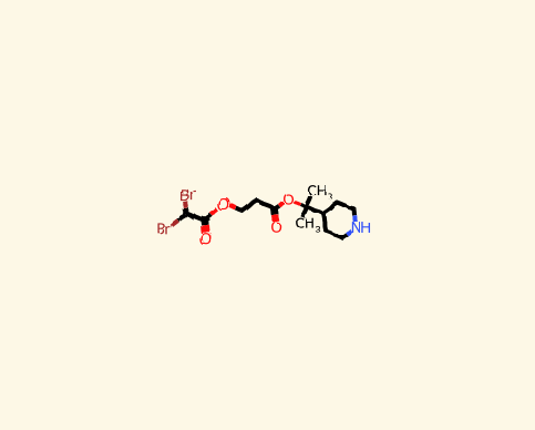 CC(C)(OC(=O)CCOC(=O)C(Br)Br)C1CCNCC1